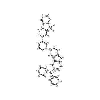 CC1(C)c2ccccc2-c2ccc(-c3cccc(-c4ccc5sc6ccc(N(c7ccccc7)c7ccccc7)cc6c5c4)c3)cc21